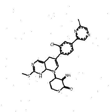 CSC1=NC=C2CC(c3ccc(-c4cncc(C)n4)cc3Cl)=CN(C3CCSC(=O)C3=N)C2N1